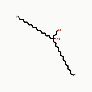 CC(C)CCCCCCCCCCCCCCCC(O)(CCCO)CCCCCCCCCCCCCCCC(C)C